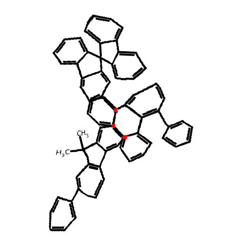 CC1(C)c2cc(-c3ccccc3)ccc2-c2ccc(N(c3ccc4c(c3)C3(c5ccccc5-c5ccccc53)c3ccccc3-4)c3cccc(-c4ccccc4)c3-c3ccccc3-c3ccccc3)cc21